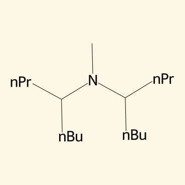 CCCCC(CCC)N(C)C(CCC)CCCC